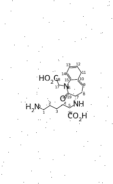 NCCCC[C@H](N[C@H]1CC=C2CC=CC=C2N(CC(=O)O)C1=O)C(=O)O